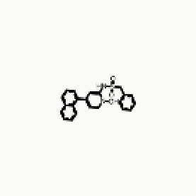 O=S(=O)(Cc1ccccc1)NC1=CC(c2cccc3ccccc23)=CCN1O